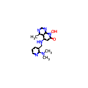 Cc1ncnc2c1c(NCc1cccnc1N(C)C)cc(=O)n2O